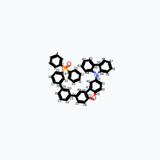 O=P(c1ccccc1)(c1ccccc1)c1cccc(-c2cccc(-c3ccc4oc5ccc(-n6c7ccccc7c7ccccc76)cc5c4c3)c2)c1